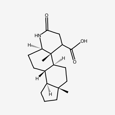 C[C@@]12CCC[C@H]1[C@@H]1CC[C@H]3NC(=O)CC(C(=O)O)[C@]3(C)[C@H]1CC2